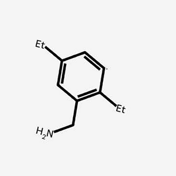 CCc1c[c]c(CC)c(CN)c1